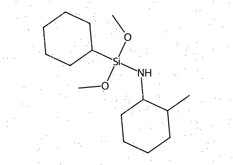 CO[Si](NC1CCCCC1C)(OC)C1CCCCC1